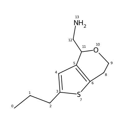 CCCc1cc2c(s1)CCOC2CN